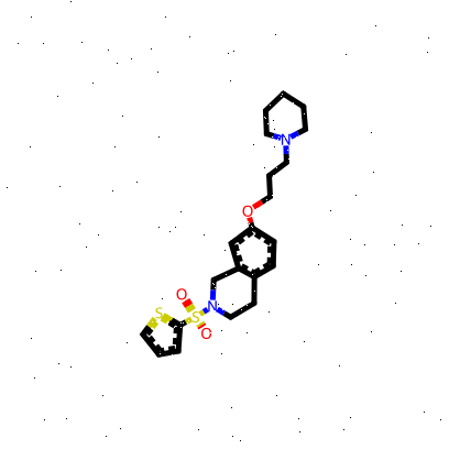 O=S(=O)(c1cccs1)N1CCc2ccc(OCCCN3CCCCC3)cc2C1